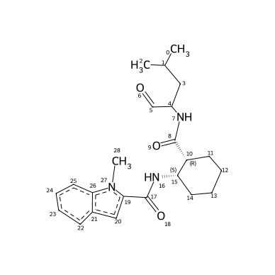 CC(C)CC(C=O)NC(=O)[C@@H]1CCCC[C@@H]1NC(=O)c1cc2ccccc2n1C